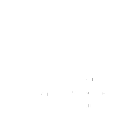 CC1/C=C(\O[Si](C)(C)C)CCCCCCCCCCCC1